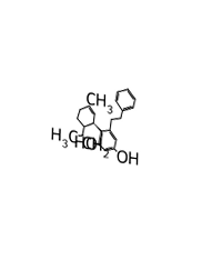 C=C(C)C1CCC(C)=C[C@H]1c1c(O)cc(O)cc1CCc1ccccc1